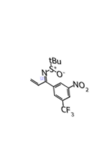 C=C/C(=N/[S+]([O-])C(C)(C)C)c1cc([N+](=O)[O-])cc(C(F)(F)F)c1